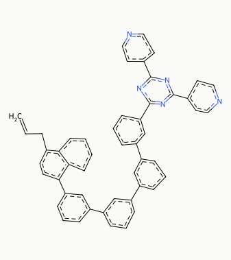 C=CCc1ccc(-c2cccc(-c3cccc(-c4cccc(-c5cccc(-c6nc(-c7ccncc7)nc(-c7ccncc7)n6)c5)c4)c3)c2)c2ccccc12